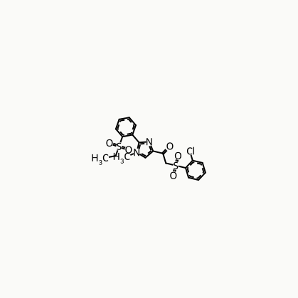 CCS(=O)(=O)c1ccccc1-c1nc(C(=O)CS(=O)(=O)c2ccccc2Cl)cn1C